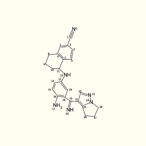 N#Cc1ccc2c(c1)CCCC2Nc1ccc(N)c(C(=N)c2cnn3c2CCC3)c1